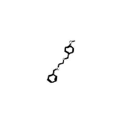 COc1ccc(COC[CH]OCc2ccccc2)cc1